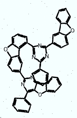 c1ccc(-c2nc(-c3ccc4oc5ccccc5c4c3)nc(-c3cccc4oc5ccc(-c6nc(-c7ccccc7)c7oc8ccccc8c7n6)cc5c34)n2)cc1